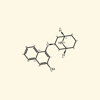 Oc1cc(O[C@@H]2C[C@H]3CCC[C@@H](C2)N3)c2ccccc2c1